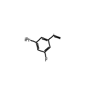 C=[C]c1cc(F)cc(C(C)C)c1